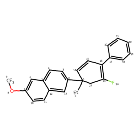 CCC1(c2ccc3cc(OC(F)(F)F)ccc3c2)C=CC(c2ccccc2)=C(F)C1